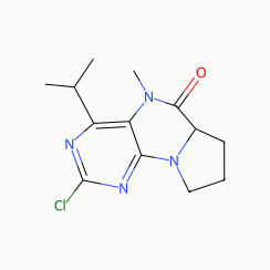 CC(C)c1nc(Cl)nc2c1N(C)C(=O)C1CCCN21